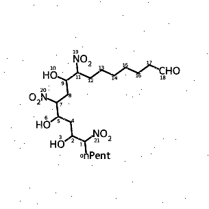 CCCCCC(C(O)CC(O)C(CC(O)C(CCCCCCC=O)[N+](=O)[O-])[N+](=O)[O-])[N+](=O)[O-]